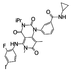 Cc1c(=O)n(C)c(Nc2ccc(I)cc2F)c2c(=O)n(C(C)C)c(=O)n(-c3cccc(C(=O)NC4CC4)c3)c12